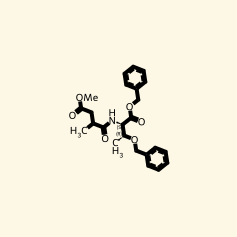 COC(=O)CC(C)C(=O)N[C@H](C(=O)OCc1ccccc1)[C@@H](C)OCc1ccccc1